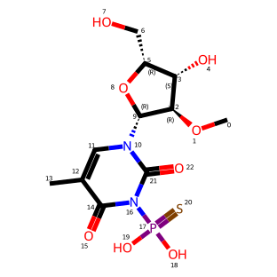 CO[C@@H]1[C@@H](O)[C@@H](CO)O[C@H]1n1cc(C)c(=O)n(P(O)(O)=S)c1=O